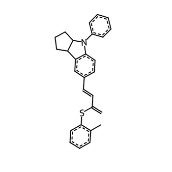 C=C(/C=C/c1ccc2c(c1)C1CCCC1N2c1ccccc1)Sc1ccccc1C